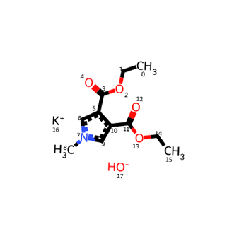 CCOC(=O)c1cn(C)cc1C(=O)OCC.[K+].[OH-]